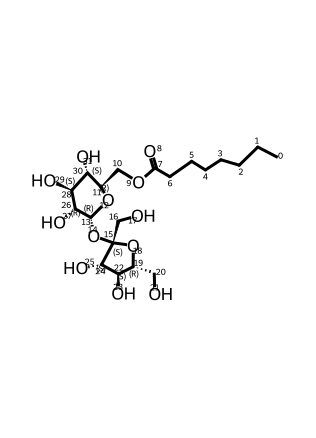 CCCCCCCC(=O)OC[C@H]1O[C@H](O[C@]2(CO)O[C@H](CO)[C@@H](O)[C@@H]2O)[C@H](O)[C@@H](O)[C@@H]1O